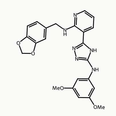 COc1cc(Nc2nnc(-c3cccnc3NCc3ccc4c(c3)OCO4)[nH]2)cc(OC)c1